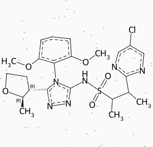 COc1cccc(OC)c1-n1c(NS(=O)(=O)C(C)C(C)c2ncc(Cl)cn2)nnc1[C@H]1CCO[C@@H]1C